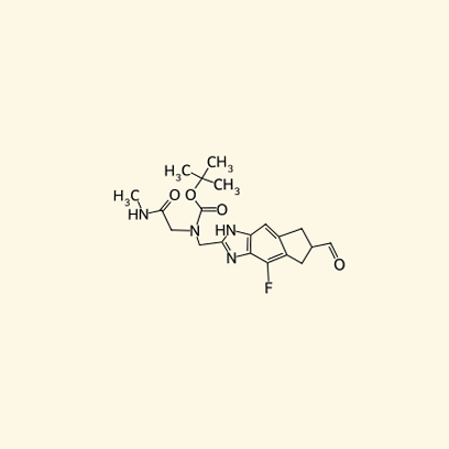 CNC(=O)CN(Cc1nc2c(F)c3c(cc2[nH]1)CC(C=O)C3)C(=O)OC(C)(C)C